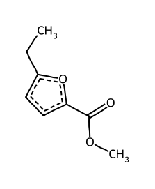 CCc1ccc(C(=O)OC)o1